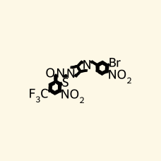 O=c1nc(N2CC3CN(Cc4ccc([N+](=O)[O-])c(Br)c4)CC3C2)sc2c([N+](=O)[O-])cc(C(F)(F)F)cc12